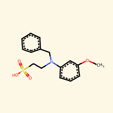 COc1cccc(N(CCS(=O)(=O)O)Cc2ccccc2)c1